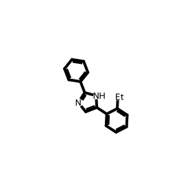 CCc1ccccc1-c1cnc(-c2ccccc2)[nH]1